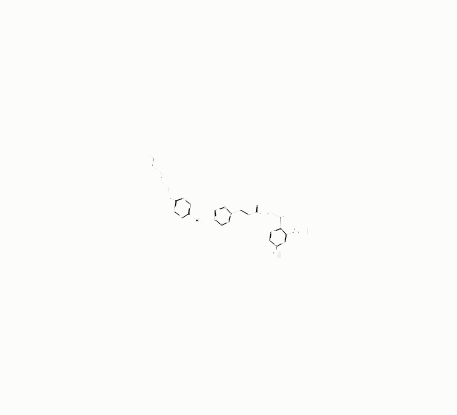 [CH2]C(COC(=O)/C=C/c1ccc(OC(F)(F)c2ccc(OCCCCCF)cc2)cc1)c1ccc(N)cc1N